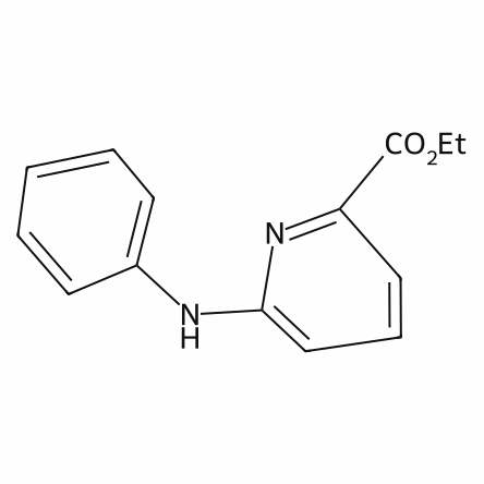 CCOC(=O)c1cccc(Nc2ccccc2)n1